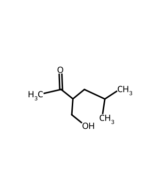 CC(=O)C(CO)CC(C)C